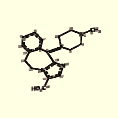 CN1CCC(=C2c3ccccc3CCn3c(C(=O)O)cnc32)CC1